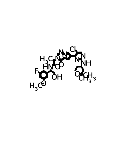 COc1cc(F)cc(C(CO)NC(=O)C(C)n2cnn3cc(-c4nc(N[C@@H]5CCOC(C)(C)C5)ncc4Cl)cc3c2=O)c1